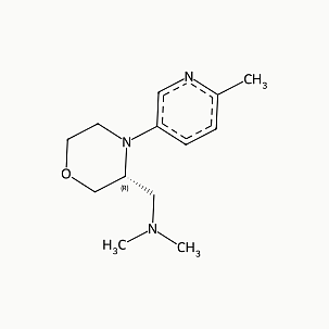 Cc1ccc(N2CCOC[C@H]2CN(C)C)cn1